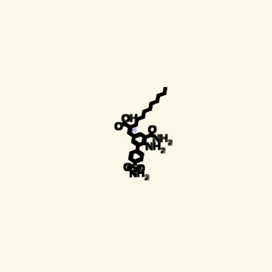 CCCCCCCCCC/C(=C\c1cc(C(N)=O)c(N)c(-c2ccc(S(N)(=O)=O)cc2)c1)C(=O)O